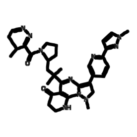 CC1CC=NN=C1C(=O)N1CCCC1CC(C)(C)C1=NC2=C(c3ccc(-c4ccn(C)n4)nc3)CN(C)N2C2=C1C(=O)CCN2